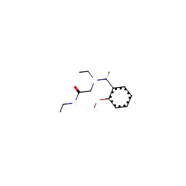 CCNC(=O)CN(CC)[C@@H](C)c1ccccc1OC